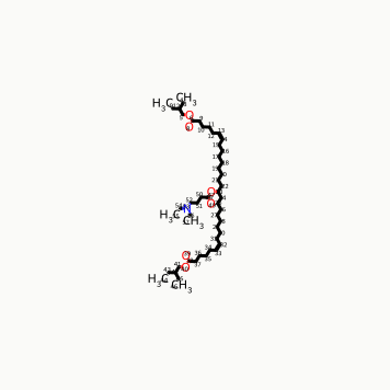 CCC(CC)COC(=O)CCCC/C=C\CCCCCCCCC(CCCCCCCC/C=C\CCCCC(=O)OCC(CC)CC)OC(=O)CCCN(CC)CC